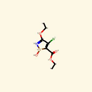 CCOC(=O)c1c(Br)c(OCC)n[s+]1[O-]